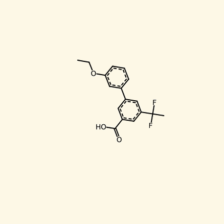 CCOc1cccc(-c2cc(C(=O)O)cc(C(C)(F)F)c2)c1